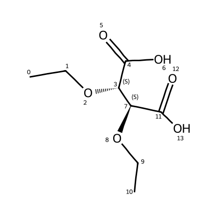 CCO[C@H](C(=O)O)[C@H](OCC)C(=O)O